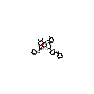 Cc1cccc([SiH2]CC(OC(C[SiH2]c2cccc(C)c2C)c2cccc(Oc3ccccc3)n2)c2cccc(Oc3ccccc3)n2)c1C